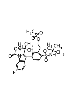 CC(C)(C)NS(=O)(=O)c1ccc(-c2c(C(C)(C)C)n(C(=O)O)c3cc(F)ccc23)cc1CCOS(C)(=O)=O